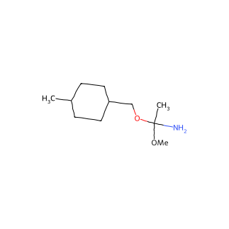 COC(C)(N)OCC1CCC(C)CC1